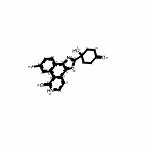 O=C1CCC(O)(c2nc3c4ccc(F)cc4c4c(=O)[nH]ccc4c3s2)CC1